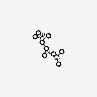 O=P1(c2ccccc2)N(c2ccccc2)c2ccc(-c3ccc4c(c3)c3ccccc3n4-c3ccc4c(-c5ccccc5)nc(-c5ccccc5)nc4c3)cc2N1c1ccccc1